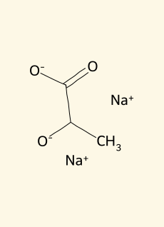 CC([O-])C(=O)[O-].[Na+].[Na+]